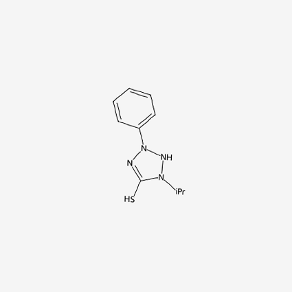 CC(C)N1NN(c2ccccc2)N=C1S